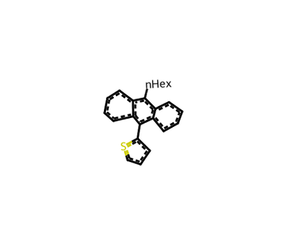 CCCCCCc1c2ccccc2c(-c2cccs2)c2ccccc12